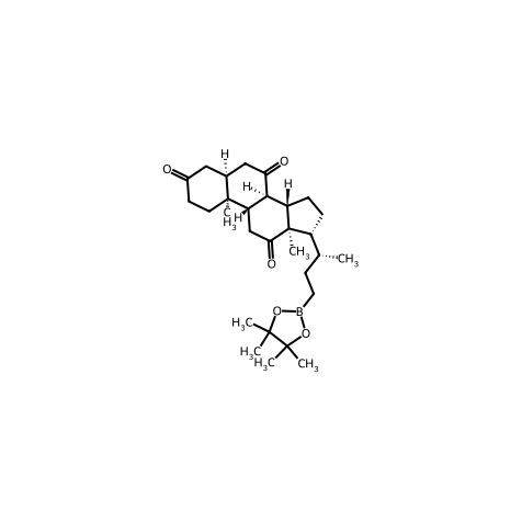 C[C@H](CCB1OC(C)(C)C(C)(C)O1)[C@H]1CC[C@H]2[C@@H]3C(=O)C[C@@H]4CC(=O)CC[C@]4(C)[C@H]3CC(=O)[C@]12C